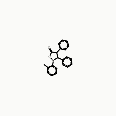 Cc1ccccc1N1OC(=O)C(c2ccccc2)C1c1ccccc1